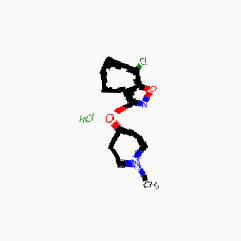 CN1CCC(Oc2noc3c(Cl)cccc23)CC1.Cl